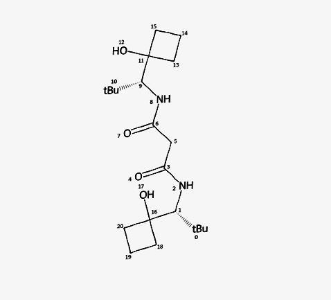 CC(C)(C)[C@@H](NC(=O)CC(=O)N[C@H](C(C)(C)C)C1(O)CCC1)C1(O)CCC1